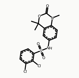 CN1C(=O)OC(C)(C)c2cc(NS(=O)(=O)c3cccc(Cl)c3Cl)ccc21